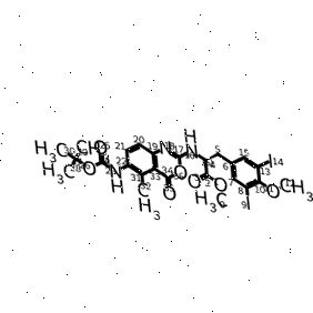 COC(=O)[C@H](Cc1cc(I)c(OC)c(I)c1)Nc1nc2ccc(NC(=O)OC(C)(C)C)c(C)c2c(=O)o1